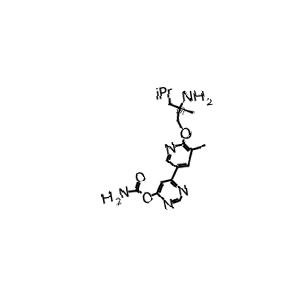 Cc1cc(-c2cc(OC(N)=O)ncn2)cnc1OC[C@@](C)(N)CC(C)C